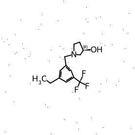 CCc1cc(CN2CC[C@@H](O)C2)cc(C(F)(F)F)c1